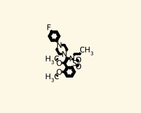 CCCN1C(N2CCN(c3ccc(F)cc3)CC2)=C(OC)c2c(OC)cccc2S1(=O)=O